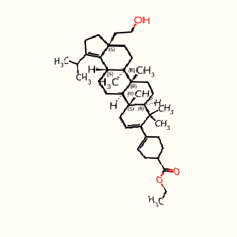 CCOC(=O)C1CC=C(C2=CC[C@]3(C)[C@H]4CC[C@@H]5C6=C(C(C)C)CC[C@]6(CCO)CC[C@@]5(C)[C@]4(C)CC[C@H]3C2(C)C)CC1